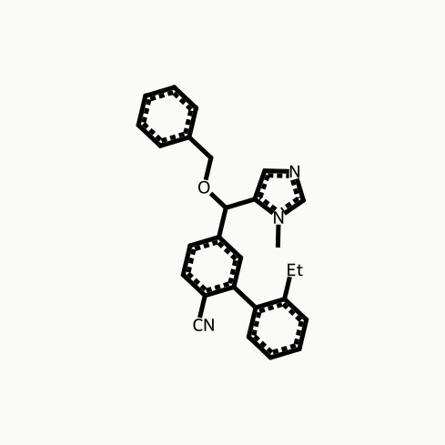 CCc1ccccc1-c1cc(C(OCc2ccccc2)c2cncn2C)ccc1C#N